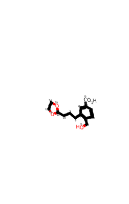 O=C(O)c1ccc(CO)c(CCCC2OCCO2)c1